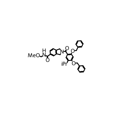 COCNC(=O)c1ccc2c(c1)CN(C(=O)c1cc(C(C)C)c(OCc3ccccc3)cc1OCc1ccccc1)C2